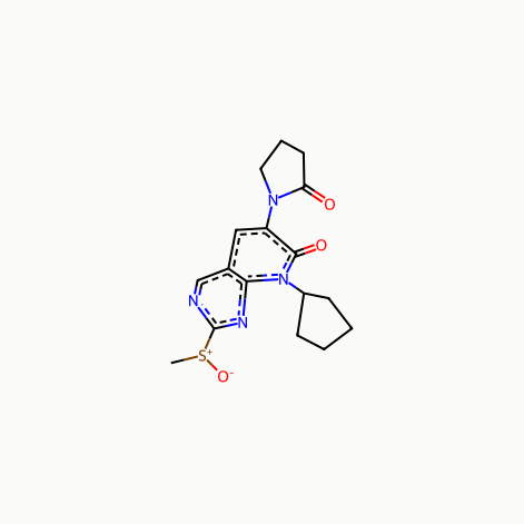 C[S+]([O-])c1ncc2cc(N3CCCC3=O)c(=O)n(C3CCCC3)c2n1